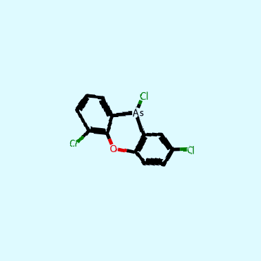 Clc1ccc2c(c1)[As](Cl)c1cccc(Cl)c1O2